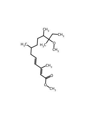 CCC(C)(OC)C(C)CCC(C)C/C=C/C(C)=C/C(=O)OC